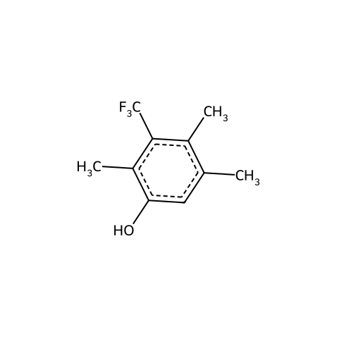 Cc1cc(O)c(C)c(C(F)(F)F)c1C